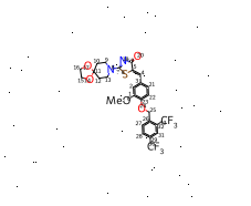 COc1cc(C=C2SC(N3CCC4(CC3)OCCO4)=NC2=O)ccc1OCc1ccc(C(F)(F)F)cc1C(F)(F)F